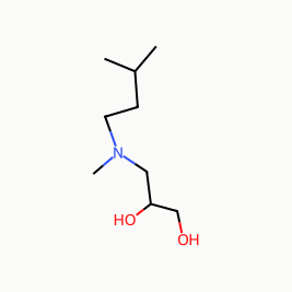 CC(C)CCN(C)CC(O)CO